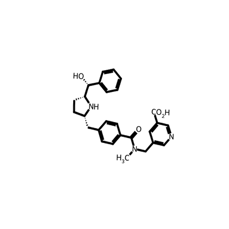 CN(Cc1cncc(C(=O)O)c1)C(=O)c1ccc(C[C@@H]2CC[C@H]([C@H](O)c3ccccc3)N2)cc1